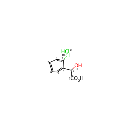 Cl.O=C(O)[C@H](O)c1ccccc1Cl